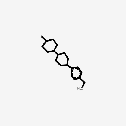 CCc1ccc(C2CCC(C3CCC(I)CC3)CC2)cc1